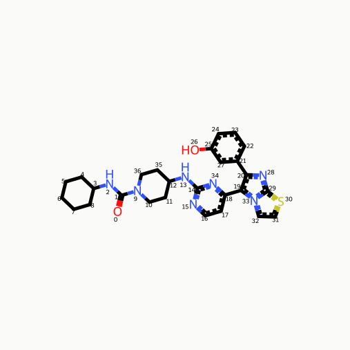 O=C(NC1CCCCC1)N1CCC(Nc2nccc(-c3c(-c4cccc(O)c4)nc4sccn34)n2)CC1